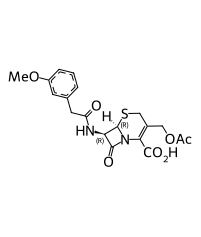 COc1cccc(CC(=O)N[C@@H]2C(=O)N3C(C(=O)O)=C(COC(C)=O)CS[C@H]23)c1